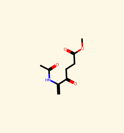 C=C(NC(C)=O)C(=O)CCC(=O)OC